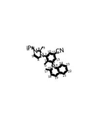 Cc1c(N2C=CN(C(C)C)[C@H]2C)cc(C#N)cc1-[n+]1c(C)ccc2ccccc21